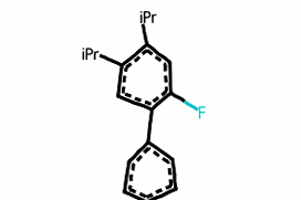 CC(C)c1cc(F)c(-c2ccccc2)cc1C(C)C